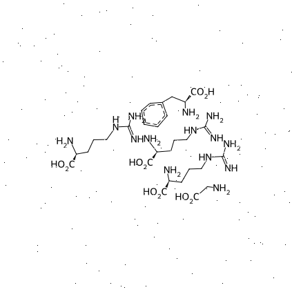 N=C(N)NCCC[C@H](N)C(=O)O.N=C(N)NCCC[C@H](N)C(=O)O.N=C(N)NCCC[C@H](N)C(=O)O.NCC(=O)O.N[C@@H](Cc1ccccc1)C(=O)O